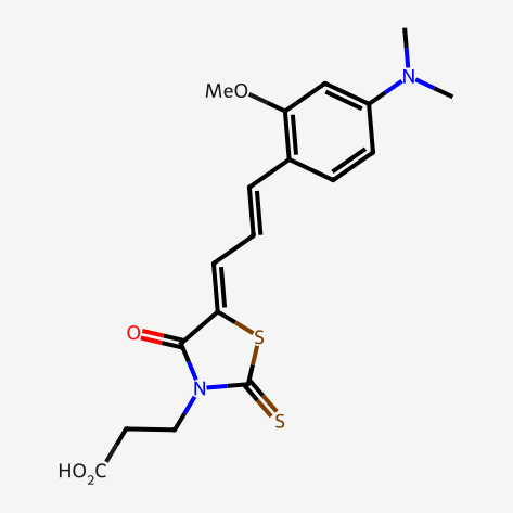 COc1cc(N(C)C)ccc1C=CC=C1SC(=S)N(CCC(=O)O)C1=O